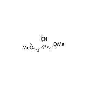 CO/C=C(\C#N)COC